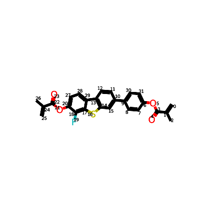 C=C(C)C(=O)Oc1ccc(-c2ccc3c(c2)sc2c(F)c(OC(=O)C(=C)C)ccc23)cc1